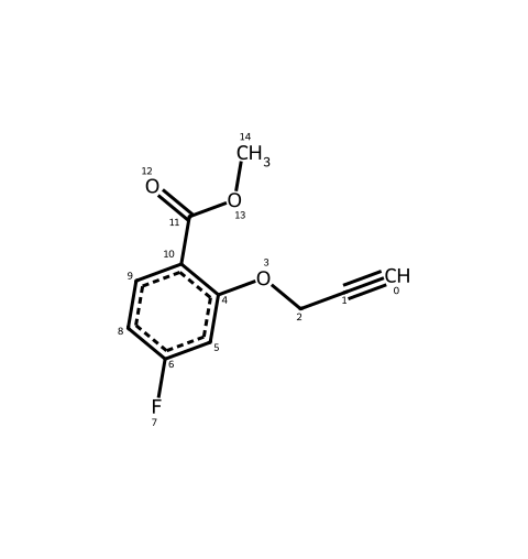 C#CCOc1cc(F)ccc1C(=O)OC